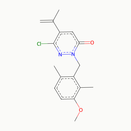 C=C(C)c1cc(=O)n(Cc2c(C)ccc(OC)c2C)nc1Cl